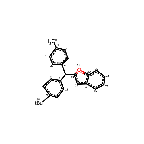 Cc1ccc(C(c2ccc(C(C)(C)C)cc2)c2cc3ccccc3o2)cc1